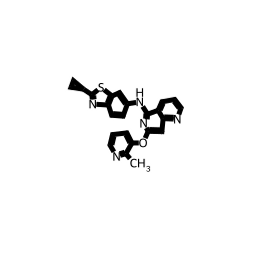 Cc1ncccc1Oc1cc2ncccc2c(Nc2ccc3nc(C4CC4)sc3c2)n1